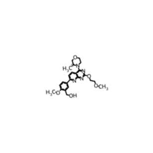 COCCOc1nc(N2CCOC[C@@H]2C)c2ccc(-c3ccc(OC)c(CO)c3)nc2n1